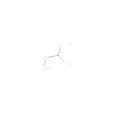 CONC(C(=O)O)C(C)(C)C